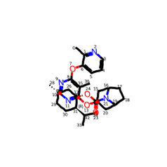 Cc1ncccc1Oc1ncnc(OC2CC3CCC(C2)N3C(=O)O[C@H]2C[C@@H](C)CC[C@@H]2C(C)C)c1C